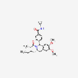 CCCC[C@H]1Cc2cc(OC)c(OC)cc2[C@H](c2ccc(C(=O)NC3CC3)cc2)N1C(=O)CC